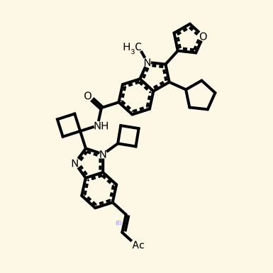 CC(=O)/C=C/c1ccc2nc(C3(NC(=O)c4ccc5c(C6CCCC6)c(-c6ccoc6)n(C)c5c4)CCC3)n(C3CCC3)c2c1